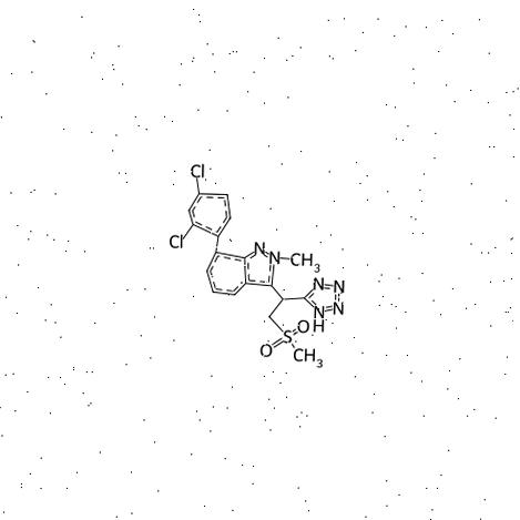 Cn1nc2c(-c3ccc(Cl)cc3Cl)cccc2c1C(CS(C)(=O)=O)c1nnn[nH]1